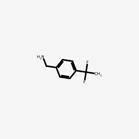 CC(F)(F)c1ccc(CN)cc1